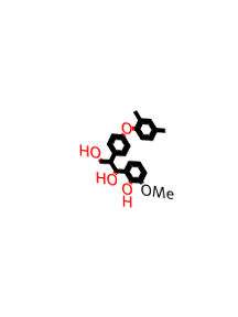 COc1cccc(C(O)C(CO)c2ccc(Oc3ccc(C)cc3C)cc2)c1O